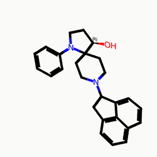 O[C@@H]1CCN(c2ccccc2)C12CCN(C1Cc3cccc4cccc1c34)CC2